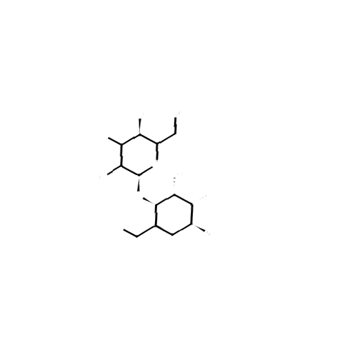 N[C@H]1CC(CO)[C@@H](O[C@@H]2OC(CO)[C@H](O)C(O)C2O)[C@H](O)[C@@H]1O